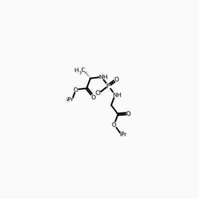 CC(C)OC(=O)CNP(=O)(Cl)N[C@@H](C)C(=O)OC(C)C